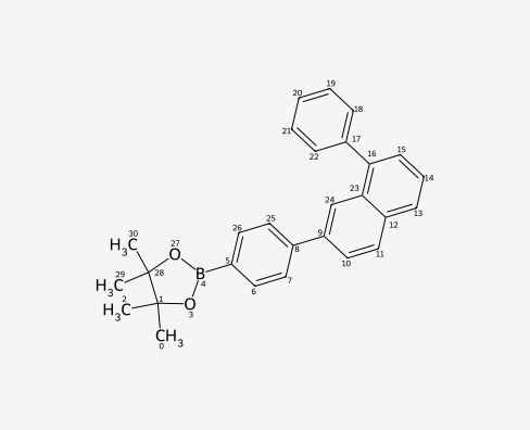 CC1(C)OB(c2ccc(-c3ccc4cccc(-c5ccccc5)c4c3)cc2)OC1(C)C